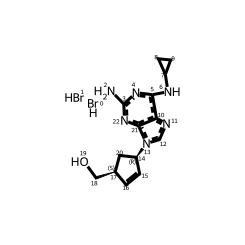 Br.Br.Nc1nc(NC2CC2)c2ncn([C@H]3C=C[C@@H](CO)C3)c2n1